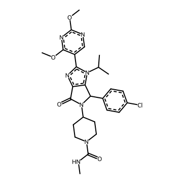 CNC(=O)N1CCC(N2C(=O)c3nc(-c4cnc(OC)nc4OC)n(C(C)C)c3C2c2ccc(Cl)cc2)CC1